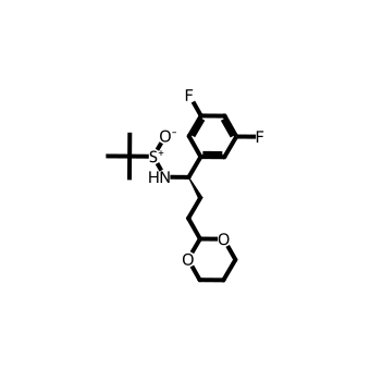 CC(C)(C)[S+]([O-])N[C@H](CCC1OCCCO1)c1cc(F)cc(F)c1